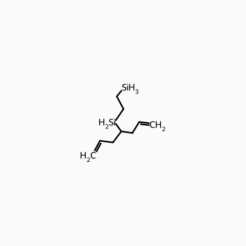 C=CCC(CC=C)[SiH2]CC[SiH3]